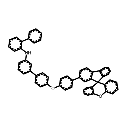 c1ccc(-c2ccccc2Nc2cccc(-c3ccc(Oc4ccc(-c5ccc6c(c5)C5(c7ccccc7Oc7ccccc75)c5ccccc5-6)cc4)cc3)c2)cc1